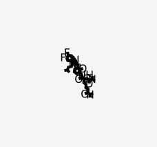 CC(C)CCn1c(Cn2cccc(NC(=O)C(CCC=CC(=O)N(C)C)OC(=O)N(C)C)c2=O)nc2cc(F)c(F)cc21